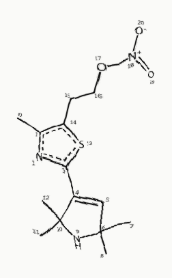 Cc1nc(C2=CC(C)(C)NC2(C)C)sc1CCO[N+](=O)[O-]